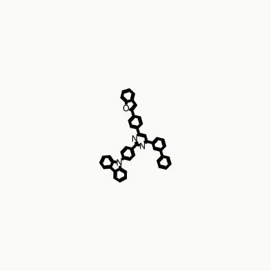 c1ccc(-c2cccc(-c3cc(-c4ccc(-c5cc6ccccc6o5)cc4)nc(-c4ccc(-n5c6ccccc6c6ccccc65)cc4)n3)c2)cc1